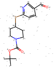 CC(C)(C)OC(=O)N1CCC(Sc2ccc(C=O)cn2)CC1